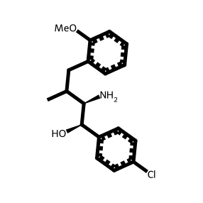 COc1ccccc1CC(C)[C@@H](N)[C@H](O)c1ccc(Cl)cc1